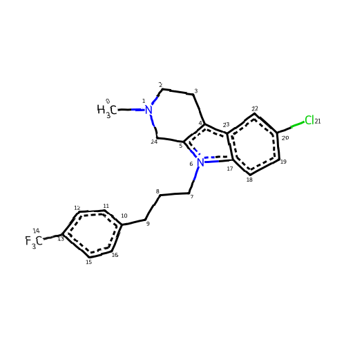 CN1CCc2c(n(CCCc3ccc(C(F)(F)F)cc3)c3ccc(Cl)cc23)C1